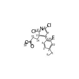 CCc1ccc(-c2cc(Cl)nc(Cl)c2CCC(=O)OC)c(F)c1